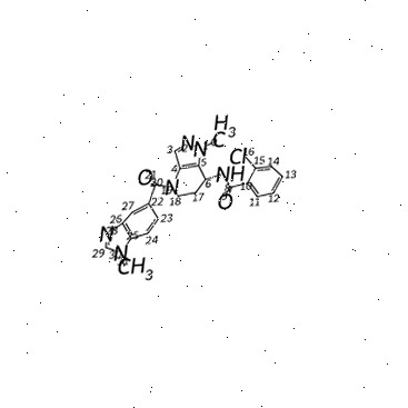 Cn1ncc2c1C(NC(=O)c1ccccc1Cl)CCN2C(=O)c1ccc2c(c1)ncn2C